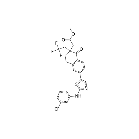 COC(=O)CC1(CC(F)(F)F)CCc2cc(-c3cnc(Nc4cccc(Cl)c4)s3)ccc2C1=O